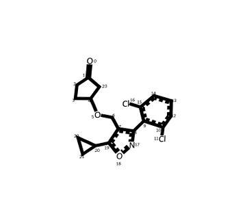 O=C1CCC(OCc2c(-c3c(Cl)cccc3Cl)noc2C2CC2)C1